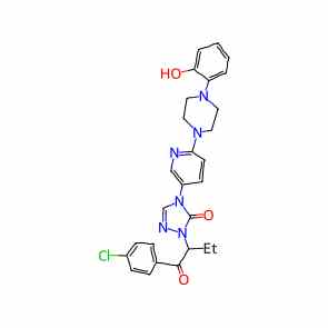 CCC(C(=O)c1ccc(Cl)cc1)n1ncn(-c2ccc(N3CCN(c4ccccc4O)CC3)nc2)c1=O